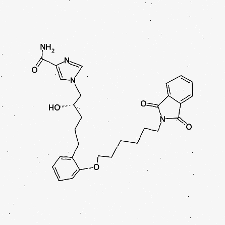 NC(=O)c1cn(C[C@@H](O)CCCc2ccccc2OCCCCCCN2C(=O)c3ccccc3C2=O)cn1